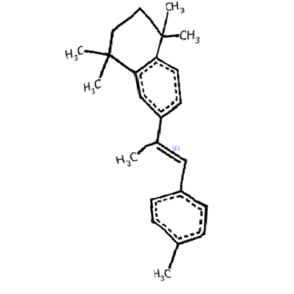 C/C(=C\c1ccc(C)cc1)c1ccc2c(c1)C(C)(C)CCC2(C)C